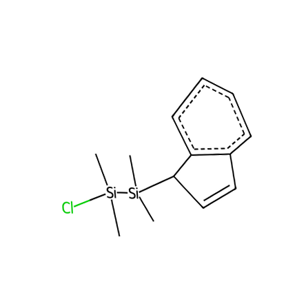 C[Si](C)(Cl)[Si](C)(C)C1C=Cc2ccccc21